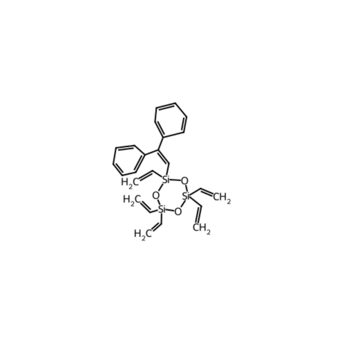 C=C[Si]1(C=C)O[Si](C=C)(C=C)O[Si](C=C)(C=C(c2ccccc2)c2ccccc2)O1